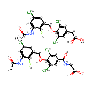 CC(=O)Nc1cc(Cl)cc(COc2c(Cl)cc(C(=O)NCC(=O)O)cc2Cl)c1F.CC(=O)Nc1cc(Cl)cc(COc2c(Cl)cc(CC(=O)O)cc2Cl)c1F